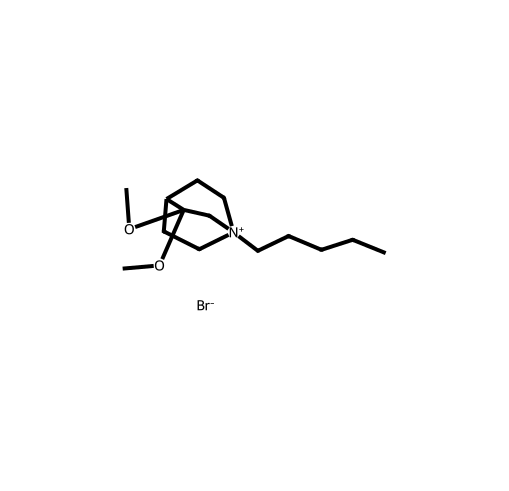 CCCCC[N+]12CCC(CC1)C(OC)(OC)C2.[Br-]